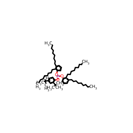 CCCCCCCCCc1cccc(OP(Oc2ccc(C(C)(C)C)cc2C(C)(C)C)Oc2cccc(CCCCCCCCC)c2CCCCCCCCC)c1CCCCCCCCC